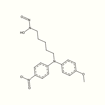 COc1ccc(N(CCCCCN(O)N=O)c2ccc([N+](=O)[O-])cc2)cc1